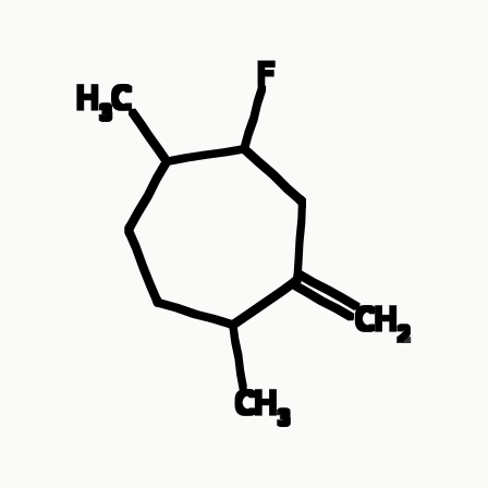 C=C1CC(F)C(C)CCC1C